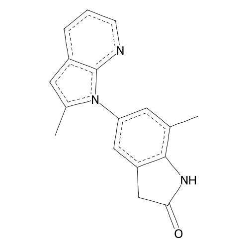 Cc1cc(-n2c(C)cc3cccnc32)cc2c1NC(=O)C2